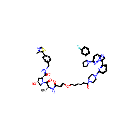 Cc1ncsc1-c1ccc(CNC(=O)[C@@H]2C[C@@H](O)CN2C(=O)[C@@H](NC(=O)CCOCCCCCC(=O)N2CCN(c3cccc(-c4cnc5ccc(N6CCC[C@@H]6c6cccc(F)c6)nn45)n3)CC2)C(C)(C)C)cc1